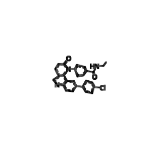 CCNC(=O)c1ccc(-n2c(=O)ccc3cnc4ccc(-c5ccc(Cl)cc5)cc4c32)cc1